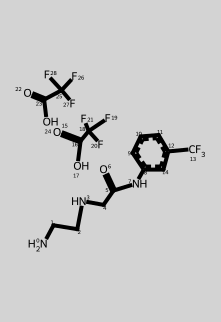 NCCNCC(=O)Nc1cccc(C(F)(F)F)c1.O=C(O)C(F)(F)F.O=C(O)C(F)(F)F